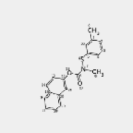 Cc1cccc(SN(C)C(=O)Oc2ccc3ccccc3c2)c1